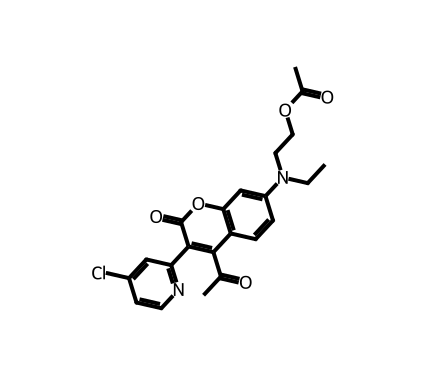 CCN(CCOC(C)=O)c1ccc2c(C(C)=O)c(-c3cc(Cl)ccn3)c(=O)oc2c1